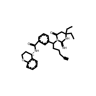 C#CCCCC(c1cccc(C(=O)N[C@H]2CCOc3ccccc32)c1)N1C(=N)NC(CC)(CC)CC1=O